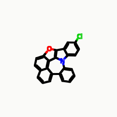 Clc1ccc2c(c1)c1oc3ccc4cccc5c6ccccc6n2c1c3c45